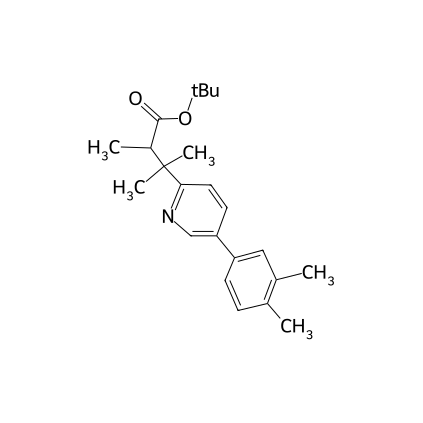 Cc1ccc(-c2ccc(C(C)(C)C(C)C(=O)OC(C)(C)C)nc2)cc1C